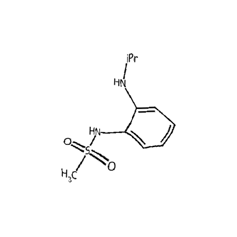 CC(C)Nc1ccccc1NS(C)(=O)=O